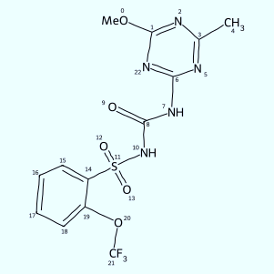 COc1nc(C)nc(NC(=O)NS(=O)(=O)c2ccccc2OC(F)(F)F)n1